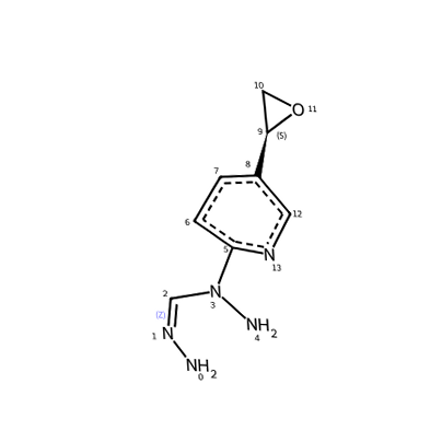 N/N=C\N(N)c1ccc([C@H]2CO2)cn1